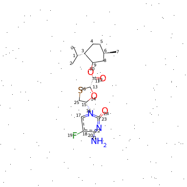 CC(C)[C@@H]1CC[C@@H](C)CC1OC(=O)[C@@H]1O[C@H](n2cc(F)c(N)nc2=O)CS1